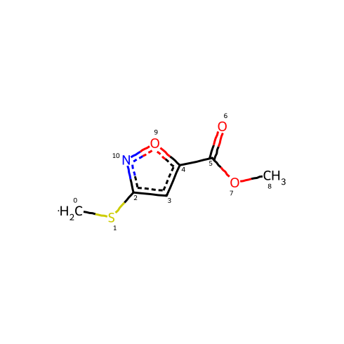 [CH2]Sc1cc(C(=O)OC)on1